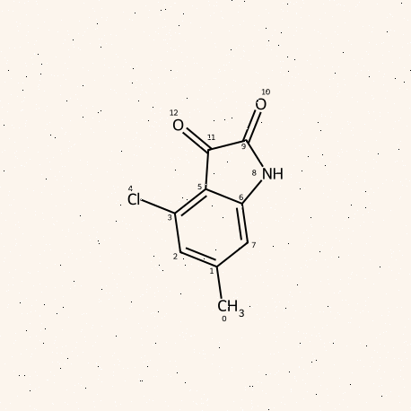 Cc1cc(Cl)c2c(c1)NC(=O)C2=O